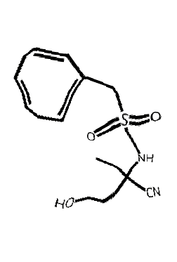 CC(C#N)(CO)NS(=O)(=O)Cc1ccccc1